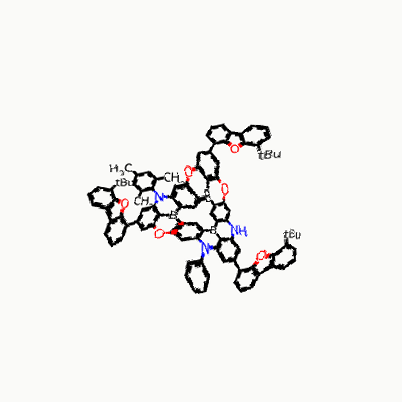 Cc1cc(C)c(N2c3cc4c(cc3B3c5ccccc5Oc5cc(-c6cccc7c6oc6c(C(C)(C)C)cccc67)cc2c53)B2c3cc5c(cc3Oc3cc(-c6cccc7c6oc6c(C(C)(C)C)cccc67)cc(c32)O4)Nc2cc(-c3cccc4c3oc3c(C(C)(C)C)cccc34)cc3c2B5c2ccccc2N3c2ccccc2)c(C)c1